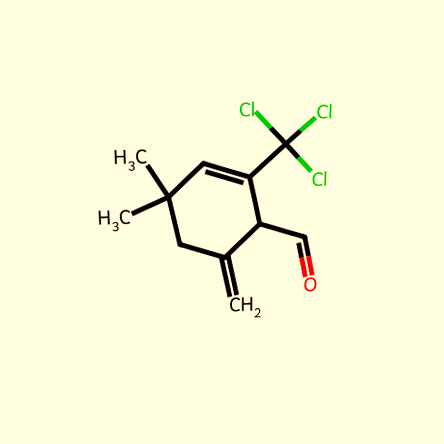 C=C1CC(C)(C)C=C(C(Cl)(Cl)Cl)C1C=O